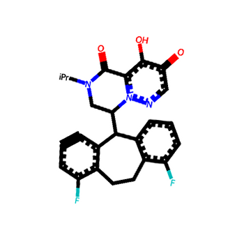 CC(C)N1CC(C2c3c#ccc(F)c3CCc3c(F)cccc32)n2ncc(=O)c(O)c2C1=O